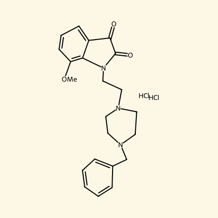 COc1cccc2c1N(CCN1CCN(Cc3ccccc3)CC1)C(=O)C2=O.Cl.Cl